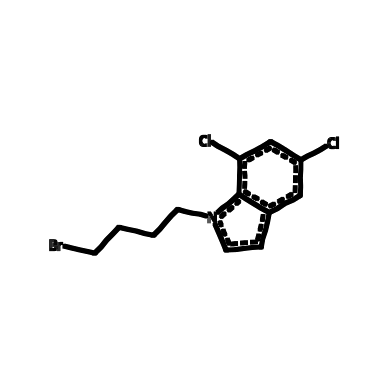 Clc1cc(Cl)c2c(ccn2CCCCBr)c1